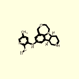 CCOc1ncc(C)cc1Nc1cc2c3c(c1)[C@@H]1CNCC[C@@H]1N3CCOC2